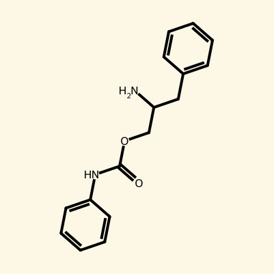 NC(COC(=O)Nc1ccccc1)Cc1ccccc1